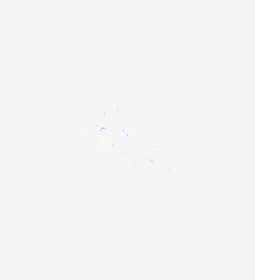 CS(=O)(=O)N[C@@H]1[C@H](Cc2cccc(-c3cc(F)cc(F)c3)c2)NCC1(F)F.Cl